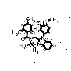 COc1ccc(-n2c(CN(C(=O)c3c(C)cc(C)cc3C)C(C)C)nc3ccccc32)cc1O